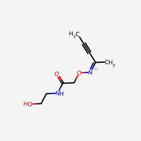 CC#C/C(C)=N\OCC(=O)NCCO